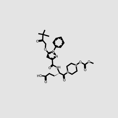 COC(=O)ON1CCN(C(=O)[C@H](CCC(=O)O)NC(=O)c2cc(OCC(=O)C(C)(C)C)n(-c3ccccc3)n2)CC1